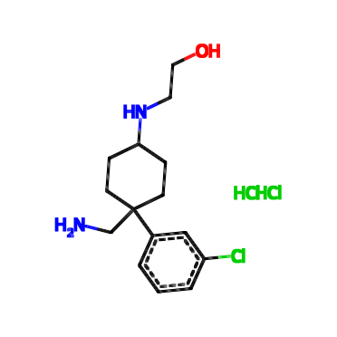 Cl.Cl.NCC1(c2cccc(Cl)c2)CCC(NCCO)CC1